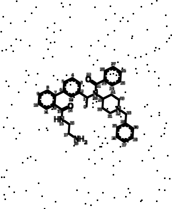 CC(c1cccc(-c2ccccc2C(=O)NCCN)c1)N(C(=O)c1ccccc1)C1CCN(Cc2ccccc2)CC1